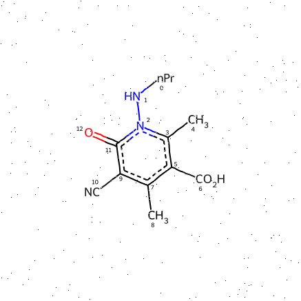 CCCNn1c(C)c(C(=O)O)c(C)c(C#N)c1=O